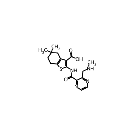 CNCc1nccnc1C(=O)Nc1sc2c(c1C(=O)O)CC(C)(C)CC2